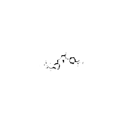 CN(C)S(=O)(=O)Nc1cc(CN2CC(=O)N(c3ccc(S(=O)(=O)C(F)(F)F)cc3)C2=O)ccn1